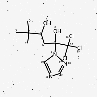 CC(C)(C)C(O)CC(O)(n1cncn1)C(Cl)(Cl)Cl